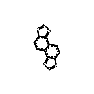 C1=Nc2ccc3c4c(ccc3c2=N1)N=NN=4